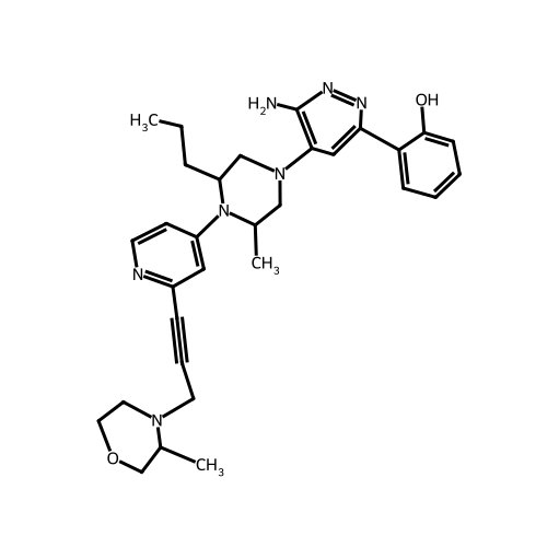 CCCC1CN(c2cc(-c3ccccc3O)nnc2N)CC(C)N1c1ccnc(C#CCN2CCOCC2C)c1